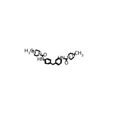 CN1CCN(C(=O)Nc2ccc(Cc3ccc(NC(=O)N4CCN(C)CC4)cc3)cc2)CC1